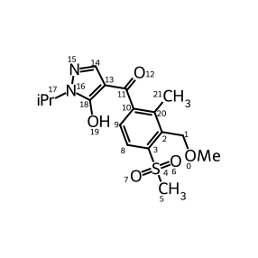 COCc1c(S(C)(=O)=O)ccc(C(=O)c2cnn(C(C)C)c2O)c1C